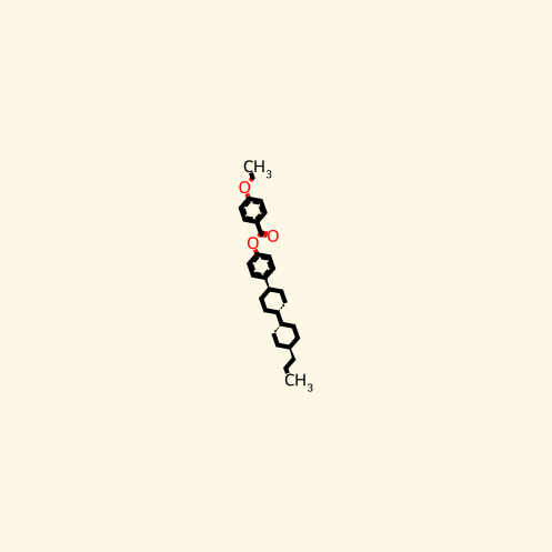 CCC[C@H]1CC[C@H]([C@H]2CC[C@H](c3ccc(OC(=O)c4ccc(OCC)cc4)cc3)CC2)CC1